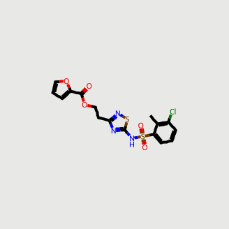 Cc1c(Cl)cccc1S(=O)(=O)Nc1nc(CCOC(=O)c2ccco2)ns1